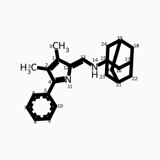 CC1=C(C)C(c2ccccc2)=NC1=CNC12CC3CC(CC(C3)C1)C2